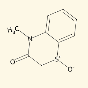 CN1C(=O)C[S+]([O-])c2ccccc21